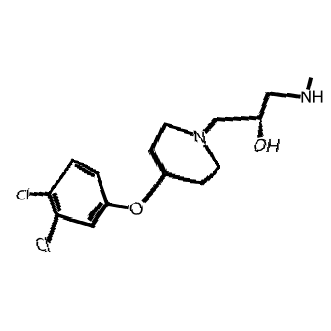 CNC[C@@H](O)CN1CCC(Oc2ccc(Cl)c(Cl)c2)CC1